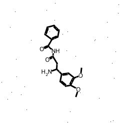 COc1ccc(C(N)CC(=O)NC(=O)c2ccccc2)cc1OC